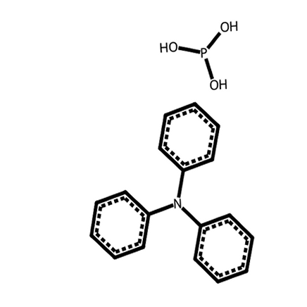 OP(O)O.c1ccc(N(c2ccccc2)c2ccccc2)cc1